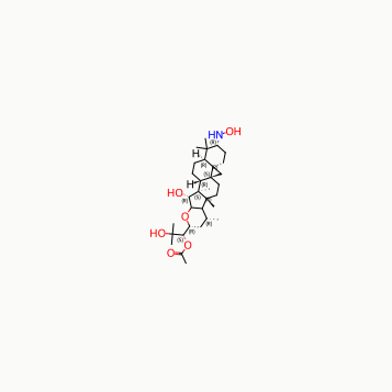 CC(=O)O[C@@H]([C@H]1C[C@@H](C)C2C(O1)[C@H](O)[C@@]1(C)[C@@H]3CC[C@H]4C(C)(C)[C@H](NO)CC[C@@]45C[C@@]35CC[C@]21C)C(C)(C)O